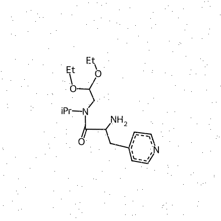 CCOC(CN(C(=O)C(N)Cc1ccncc1)C(C)C)OCC